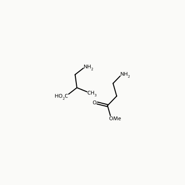 CC(CN)C(=O)O.COC(=O)CCN